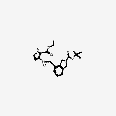 CCOC(=O)c1[nH]ccc1NCc1cccc2c1CN(C(=O)OC(C)(C)C)C2